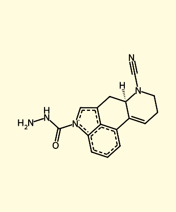 N#CN1CCC=C2c3cccc4c3c(cn4C(=O)NN)C[C@H]21